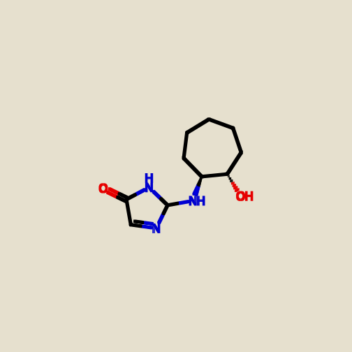 O=C1C=NC(N[C@H]2CCCCC[C@@H]2O)N1